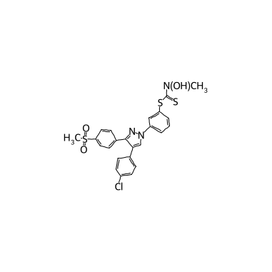 CN(O)C(=S)Sc1cccc(-n2cc(-c3ccc(Cl)cc3)c(-c3ccc(S(C)(=O)=O)cc3)n2)c1